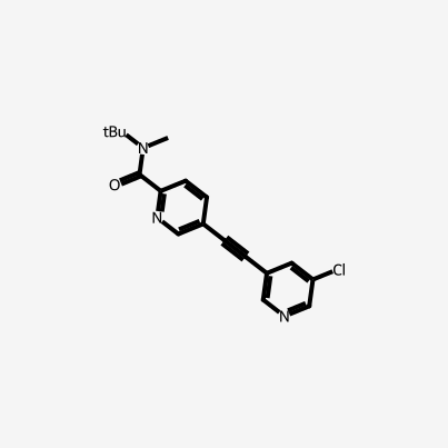 CN(C(=O)c1ccc(C#Cc2cncc(Cl)c2)cn1)C(C)(C)C